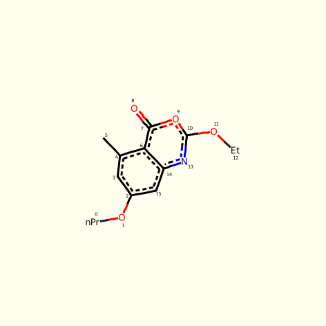 CCCOc1cc(C)c2c(=O)oc(OCC)nc2c1